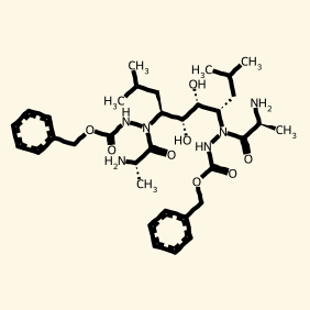 CC(C)C[C@@H]([C@@H](O)[C@H](O)[C@H](CC(C)C)N(NC(=O)OCc1ccccc1)C(=O)[C@H](C)N)N(NC(=O)OCc1ccccc1)C(=O)[C@H](C)N